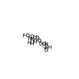 O=C1CCc2c(Oc3ccc4c(c3)[C@H]3[C@H](NC(=O)Nc5cccc(F)c5)[C@H]3O4)ccnc2N1